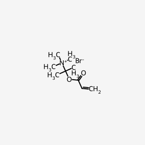 C=CC(=O)OC(C)(C)[N+](C)(C)C.[Br-]